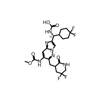 COC(=O)Nc1cc2nc([C@@H](NC(=O)O)C3CCC(F)(F)CC3)cn2nc1CC1CC(F)(F)CNC1=O